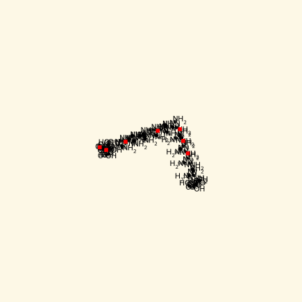 Nc1nc(N)nc(N)n1.Nc1nc(N)nc(N)n1.Nc1nc(N)nc(N)n1.Nc1nc(N)nc(N)n1.Nc1nc(N)nc(N)n1.Nc1nc(N)nc(N)n1.Nc1nc(N)nc(N)n1.Nc1nc(N)nc(N)n1.Nc1nc(N)nc(N)n1.Nc1nc(N)nc(N)n1.O=P(O)(O)OP(=O)(O)OP(=O)(O)O.O=P(O)(O)OP(=O)(O)OP(=O)(O)OP(=O)(O)OP(=O)(O)O